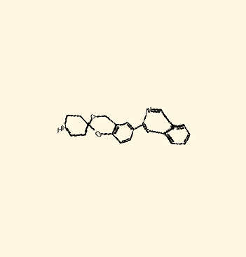 c1ccc2cc(-c3ccc4c(c3)COC3(CCNCC3)O4)ncc2c1